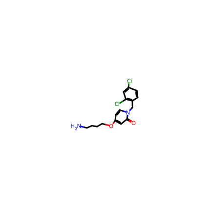 NCCCCOc1ccn(Cc2ccc(Cl)cc2Cl)c(=O)c1